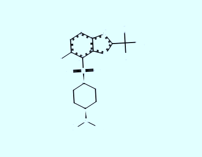 CN(C)[C@H]1CC[C@@H](S(=O)(=O)c2c(Cl)ccc3nc(C(C)(C)C)oc23)CC1